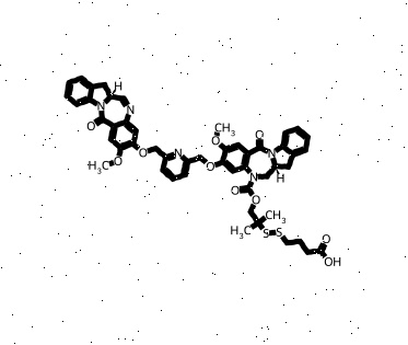 COc1cc2c(cc1OCc1cccc(COc3cc4c(cc3OC)C(=O)N3c5ccccc5C[C@H]3CN4C(=O)OCC(C)(C)SSCCCC(=O)O)n1)N=C[C@@H]1Cc3ccccc3N1C2=O